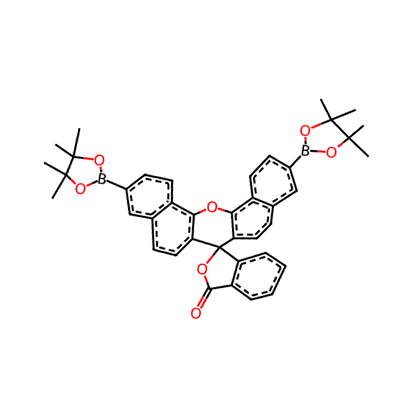 CC1(C)OB(c2ccc3c4c(ccc3c2)C2(OC(=O)c3ccccc32)c2ccc3cc(B5OC(C)(C)C(C)(C)O5)ccc3c2O4)OC1(C)C